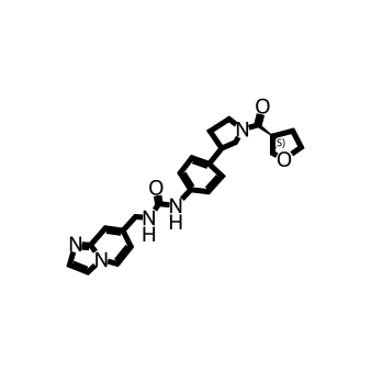 O=C(NCc1ccn2ccnc2c1)Nc1ccc(C2CCN(C(=O)[C@H]3CCOC3)C2)cc1